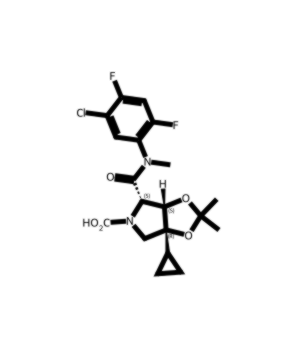 CN(C(=O)[C@@H]1[C@@H]2OC(C)(C)O[C@]2(C2CC2)CN1C(=O)O)c1cc(Cl)c(F)cc1F